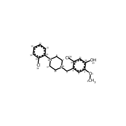 COc1cc(CN2CCN(c3ccccc3Cl)CC2)c(Cl)cc1O